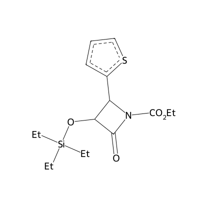 CCOC(=O)N1C(=O)C(O[Si](CC)(CC)CC)C1c1cccs1